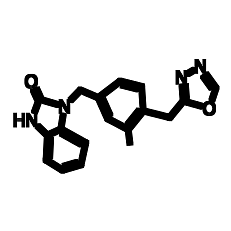 Cc1cc(Cn2c(=O)[nH]c3ccccc32)ccc1Cc1nnco1